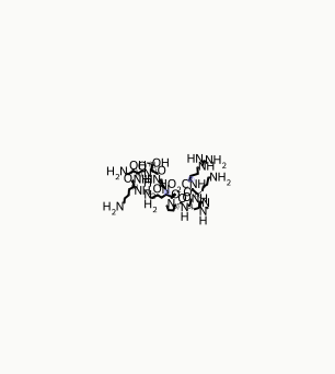 C[C@@H](O)[C@H](NC(=O)[C@@H](NC(=O)[C@@H](N)CCCCN)[C@@H](O)CN)C(=O)NCC(=O)/N=C(\CCCN)C(=O)N1CCC[C@H]1C(=O)N[C@@H](Cc1cnc[nH]1)C(=O)N[C@@H](CCCCN)C(=O)N/C(=C\CCNC(=N)N)C(=O)O